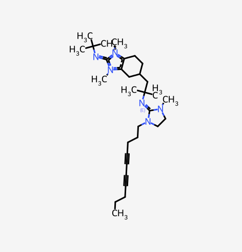 CCCC#CC#CCCCN1CCN(C)/C1=N\C(C)(C)CC1CCc2c(n(C)c(=NC(C)(C)C)n2C)C1